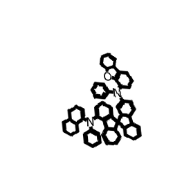 C1=CC(N(C2=CCCC3=C2C2C=CCCC2C32C3C=C(N(c4ccccc4)C4CCCC5=C4OC4CCC=CC54)C=CC3C3C=CCCC32)C2=CCCC3C=CCCC23)=CCC1